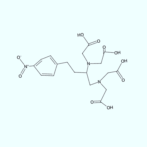 O=C(O)CN(CC(=O)O)CC(CCc1ccc([N+](=O)[O-])cc1)N(CC(=O)O)CC(=O)O